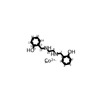 Oc1ccccc1CNCCNCc1ccccc1O.[Co+2]